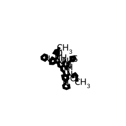 Cc1ccc(Nc2cc(N3CCCCC3)ccc2C2=CC3=CC(c4ccc(N5CCCCC5)cc4Nc4ccc(C)o4)=NC4=NC(c5ccsc5)=NC(=N2)C34)o1